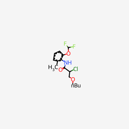 CCCCOCC(Cl)C(=O)Nc1c(C)cccc1OC(F)F